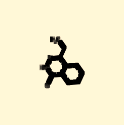 C=Cc1n[nH]c(=O)c2ccccc12